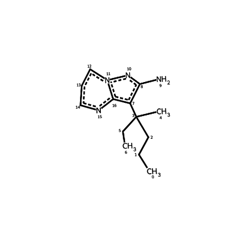 CCCC(C)(CC)c1c(N)nn2cccnc12